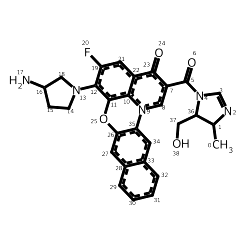 CC1N=CN(C(=O)c2cn3c4c(c(N5CCC(N)C5)c(F)cc4c2=O)Oc2cc4ccccc4cc2-3)C1CO